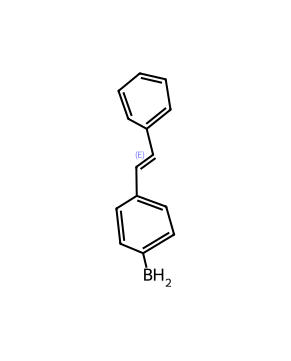 Bc1ccc(/C=C/c2ccccc2)cc1